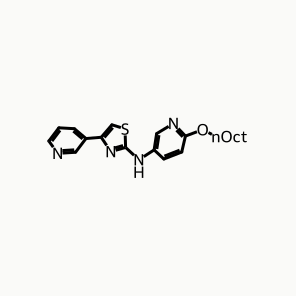 CCCCCCCCOc1ccc(Nc2nc(-c3cccnc3)cs2)cn1